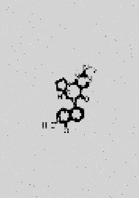 Cn1ccc2c(N3C[C@@H]4CCCN4c4nc(N)ncc4C3=O)cccc2c1=O